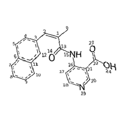 CC(=Cc1ccc2ccccc2c1)C(=O)Nc1ccncc1C(=O)O